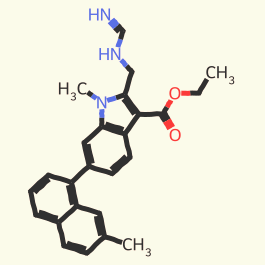 CCOC(=O)c1c(CNC=N)n(C)c2cc(-c3cccc4ccc(C)cc34)ccc12